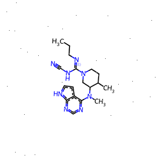 CCC/N=C(\NC#N)N1CCC(C)C(N(C)c2ncnc3[nH]ccc23)C1